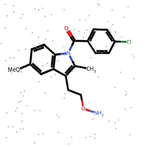 COc1ccc2c(c1)c(CCON)c(C)n2C(=O)c1ccc(Cl)cc1